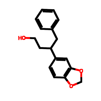 OCCC(Cc1ccccc1)c1ccc2c(c1)OCO2